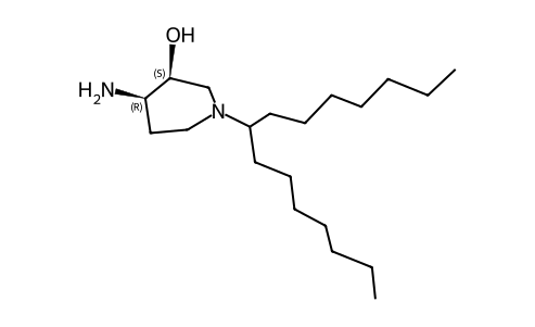 CCCCCCCC(CCCCCCC)N1CC[C@@H](N)[C@@H](O)C1